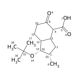 C[C@H]1CC2C(C(=O)O)C(=O)CCC2[C@H]1OC(C)(C)C